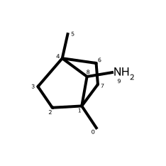 CC12CCC(C)(CC1)C2N